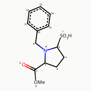 COC(=O)C1CCC(S(=O)(=O)O)N1Cc1ccccc1